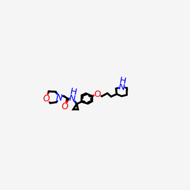 O=C(CN1CCOCC1)NC1(c2ccc(OCCCC3CCCNC3)cc2)CC1